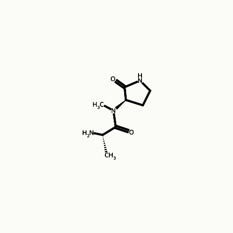 C[C@H](N)C(=O)N(C)[C@@H]1CCNC1=O